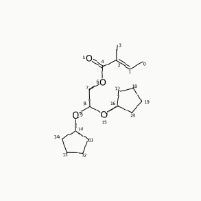 CC=C(C)C(=O)OCC(OC1CCCC1)OC1CCCC1